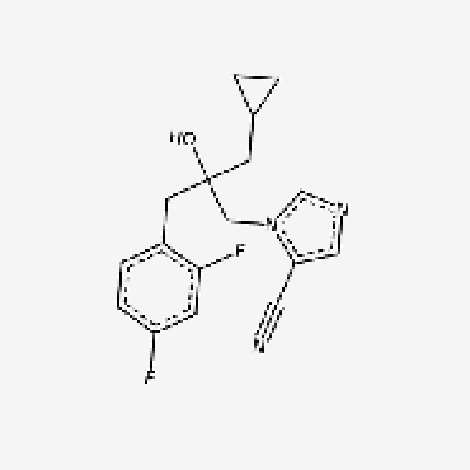 N#Cc1cncn1CC(O)(Cc1ccc(F)cc1F)CC1CC1